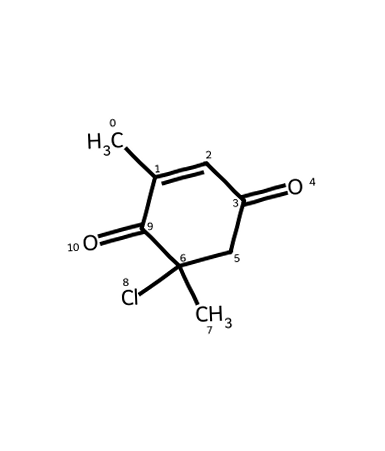 CC1=CC(=O)CC(C)(Cl)C1=O